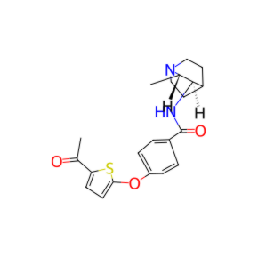 CC(=O)c1ccc(Oc2ccc(C(=O)N[C@@H]3C4CCN(CC4)[C@H]3C)cc2)s1